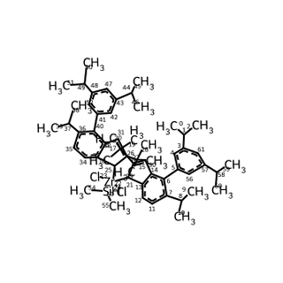 CC(C)c1cc(-c2c(C(C)C)ccc3c2C=C(C(C)(C)C)[CH]3[Zr]([Cl])([Cl])([CH]2C(C(C)(C)C)=Cc3c2ccc(C(C)C)c3-c2cc(C(C)C)cc(C(C)C)c2)[SiH](C)C)cc(C(C)C)c1